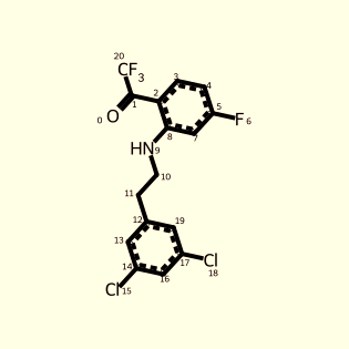 O=C(c1ccc(F)cc1NCCc1cc(Cl)cc(Cl)c1)C(F)(F)F